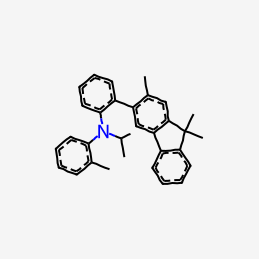 Cc1cc2c(cc1-c1ccccc1N(c1ccccc1C)C(C)C)-c1ccccc1C2(C)C